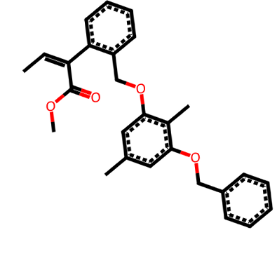 CC=C(C(=O)OC)c1ccccc1COc1cc(C)cc(OCc2ccccc2)c1C